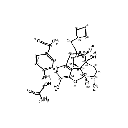 NC(=O)O.Nc1ccc(C(=O)O)cc1.Oc1ccc2c3c1O[C@H]1[C@@H](O)CC[C@@]4(O)[C@@H](C2)N(CC2CCC2)CC[C@]314